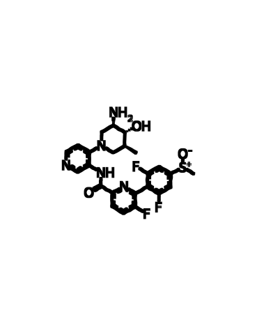 C[C@H]1CN(c2ccncc2NC(=O)c2ccc(F)c(-c3c(F)cc([S+](C)[O-])cc3F)n2)C[C@@H](N)[C@@H]1O